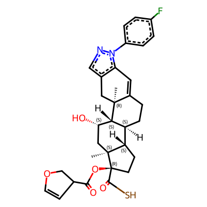 C[C@]12Cc3cnn(-c4ccc(F)cc4)c3C=C1CC[C@@H]1[C@@H]2[C@@H](O)C[C@@]2(C)[C@H]1CC[C@]2(OC(=O)C1C=COC1)C(=O)S